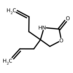 C=CCC1(CC=C)COC(=O)N1